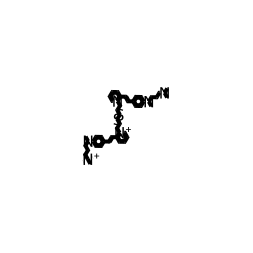 CN(C)CCCN(C)c1ccc(/C=C/c2cccc[n+]2CCSSCC[n+]2ccccc2/C=C/c2ccc(N(C)CCC[N+](C)(C)C)cc2)cc1